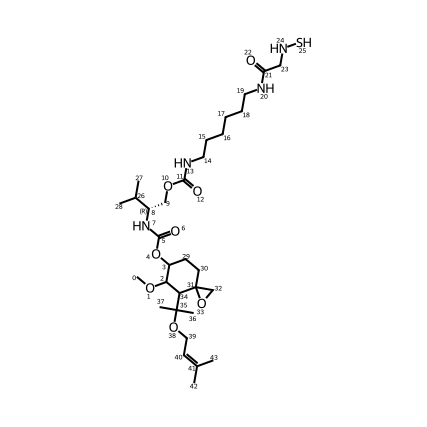 COC1C(OC(=O)N[C@@H](COC(=O)NCCCCCCNC(=O)CNS)C(C)C)CCC2(CO2)C1C(C)(C)OCC=C(C)C